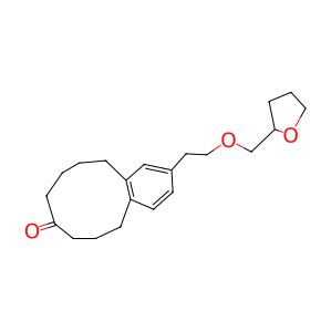 O=C1CCCCc2cc(CCOCC3CCCO3)ccc2CCC1